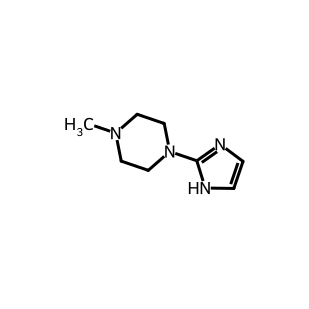 CN1CCN(c2ncc[nH]2)CC1